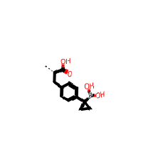 C[C@@H](Cc1ccc(C2(B(O)O)CC2)cc1)C(=O)O